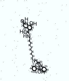 CN(CCCCCCCCCCNC[C@H](O)c1ccc(O)c2[nH]c(=O)ccc12)Cc1cnc(C(O)(c2ccccc2)c2ccccc2)o1